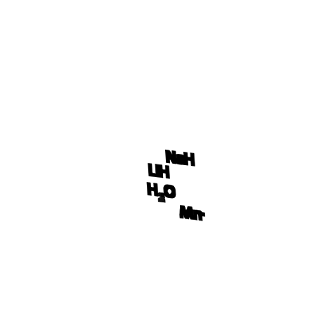 O.[LiH].[Mn].[NaH]